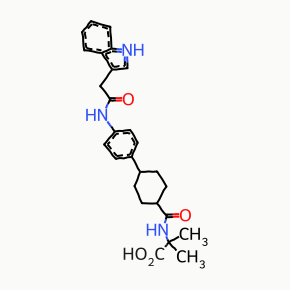 CC(C)(NC(=O)C1CCC(c2ccc(NC(=O)Cc3c[nH]c4ccccc34)cc2)CC1)C(=O)O